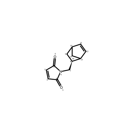 O=C1C=CC(=O)N1C[C@H]1CC2C=CC1C2